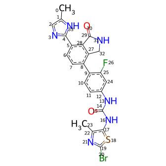 Cc1cnc(-c2ccc(-c3ccc(NC(=O)Nc4sc(Br)nc4C)cc3F)c3c2C(=O)NC3)[nH]1